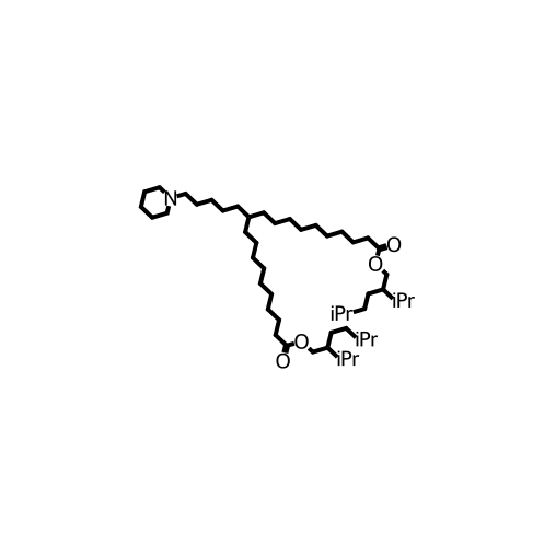 CC(C)CCC(COC(=O)CCCCCCCCCC(CCCCCCCCCC(=O)OCC(CCC(C)C)C(C)C)CCCCCN1CCCCC1)C(C)C